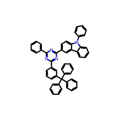 c1ccc(-c2nc(-c3cccc(C(c4ccccc4)(c4ccccc4)c4ccccc4)c3)nc(-c3ccc4c(c3)c3ccccc3n4-c3ccccc3)n2)cc1